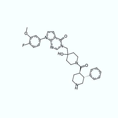 COc1cc(-n2ccc3c(=O)n(CC4(O)CCN(C(=O)[C@@H]5CCNC[C@H]5c5ccccc5)CC4)cnc32)ccc1F